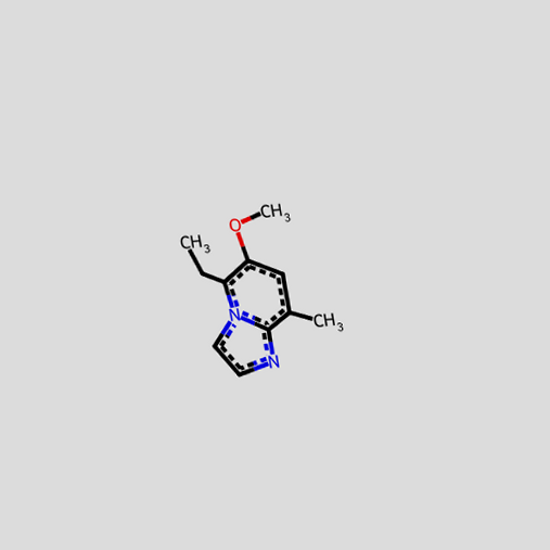 CCc1c(OC)cc(C)c2nccn12